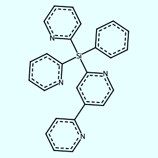 c1ccc([Si](c2ccccn2)(c2ccccn2)c2cc(-c3ccccn3)ccn2)cc1